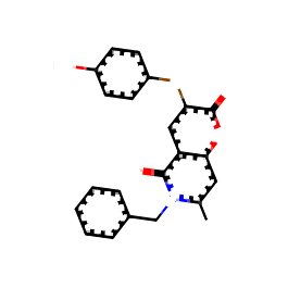 Cc1cc2oc(=O)c(Sc3ccc(O)cc3)cc2c(=O)n1Cc1ccccc1